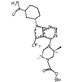 C[C@@H]1CN(c2ncnc3c2c(C(F)(F)F)cn3C2CCCC(C(N)=O)C2)[C@@H](C)CN1C(=O)OC(C)(C)C